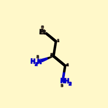 CCC[C@@H](N)CN